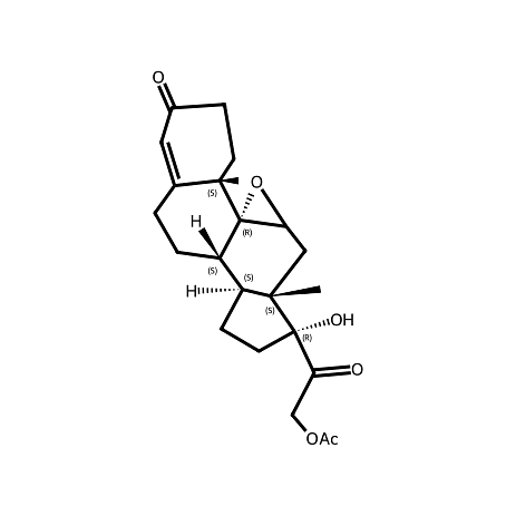 CC(=O)OCC(=O)[C@@]1(O)CC[C@H]2[C@@H]3CCC4=CC(=O)CC[C@]4(C)[C@]34OC4C[C@@]21C